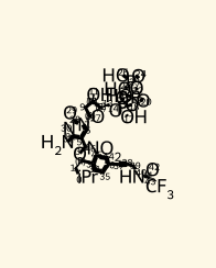 CC(C)C[C@@H](OCc1cn([C@H]2C[C@@H](O)[C@@H](COP(=O)(O)OP(=O)(O)OP(=O)(O)O)O2)c(=O)nc1N)c1ccc(C#CCNC(=O)C(F)(F)F)cc1[N+](=O)[O-]